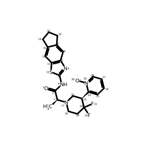 C[C@@H](C(=O)Nc1nc2cc3c(cc2s1)CCC3)N1CCC(F)(F)[C@H](c2cccc[n+]2[O-])C1